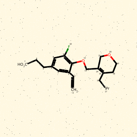 C=Cc1cc(CCC(=O)O)cc(F)c1OCC1=C(CC(C)C)CCOC1